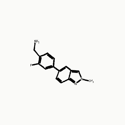 Cn1cc2cc(-c3ccc(CN)c(F)c3)ccc2n1